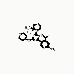 CC1(C)COCCN1c1nc(OC2CCOCC2)nc(-c2cnc(N)cc2C(F)F)n1